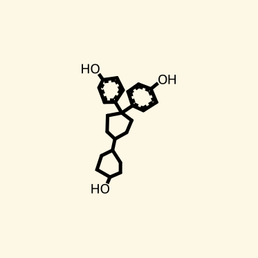 Oc1ccc(C2(c3ccc(O)cc3)CCC(C3CCC(O)CC3)CC2)cc1